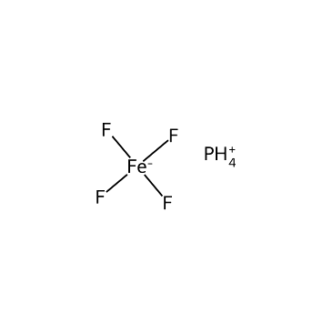 [F][Fe-]([F])([F])[F].[PH4+]